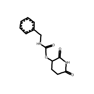 O=C1CCC(OC(=O)NCc2ccccc2)C(=O)N1